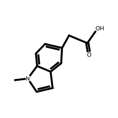 Cn1c[c]c2cc(CC(=O)O)ccc21